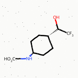 O=C(O)N[C@H]1CC[C@H](C(O)C(F)(F)F)CC1